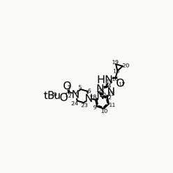 CC(C)(C)OC(=O)N1CCN(c2cccc3nc(NC(=O)C4CC4)nn23)CC1